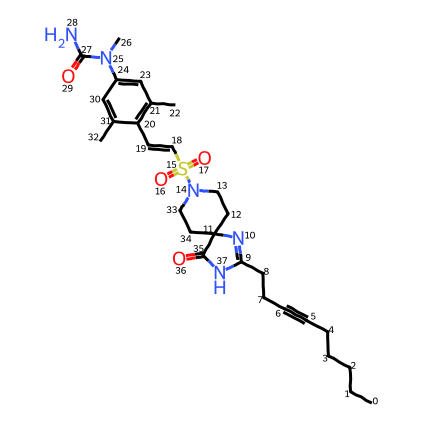 CCCCCC#CCCC1=NC2(CCN(S(=O)(=O)C=Cc3c(C)cc(N(C)C(N)=O)cc3C)CC2)C(=O)N1